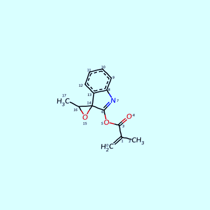 C=C(C)C(=O)OC1=Nc2ccccc2C12OC2C